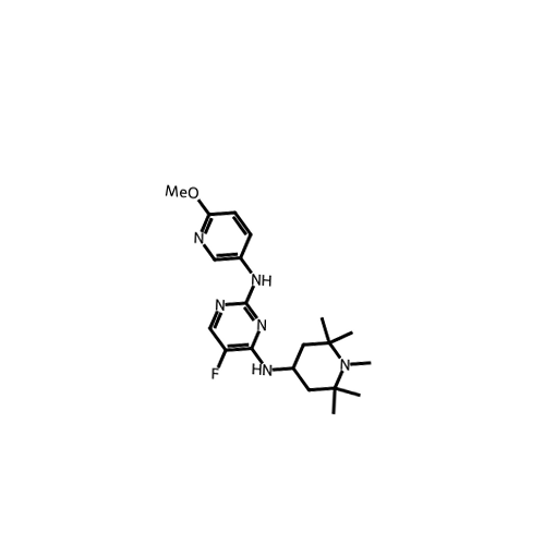 COc1ccc(Nc2ncc(F)c(NC3CC(C)(C)N(C)C(C)(C)C3)n2)cn1